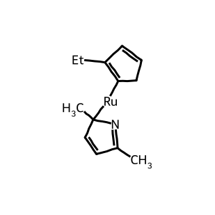 CCC1=[C]([Ru][C]2(C)C=CC(C)=N2)CC=C1